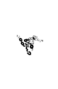 O=C(O)C(O)C(O)C(=O)O.O=c1nc(SCc2ccc(F)cc2)n(Cc2nnc(CCCN3CCCCC3)n2Cc2ccc(-c3ccc(C(F)(F)F)cc3)cc2)c2c1CCC2